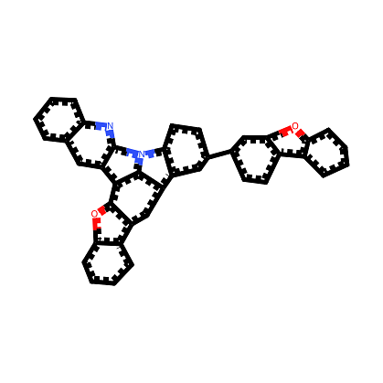 c1ccc2nc3c(cc2c1)c1c2oc4ccccc4c2cc2c4cc(-c5ccc6c(c5)oc5ccccc56)ccc4n3c21